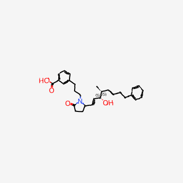 C[C@@H](CCCCc1ccccc1)[C@H](O)C=CC1CCC(=O)N1CCCc1cccc(C(=O)O)c1